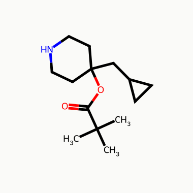 CC(C)(C)C(=O)OC1(CC2CC2)CCNCC1